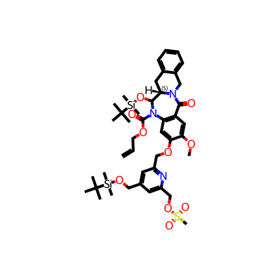 C=CCOC(=O)N1c2cc(OCc3cc(CO[Si](C)(C)C(C)(C)C)cc(COS(C)(=O)=O)n3)c(OC)cc2C(=O)N2Cc3ccccc3C[C@H]2C1O[Si](C)(C)C(C)(C)C